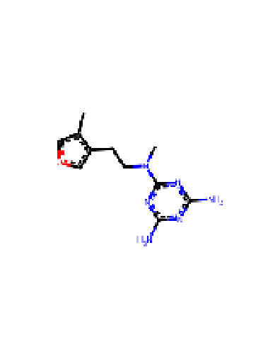 Cc1cocc1CCN(C)c1nc(N)nc(N)n1